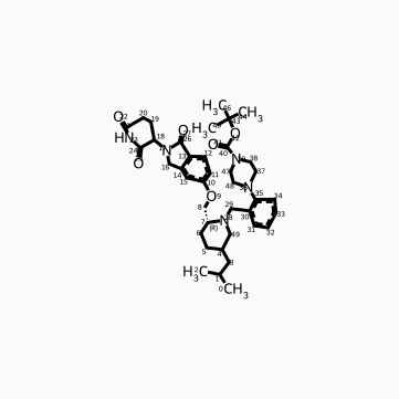 CC(C)CC1CC[C@H](COc2ccc3c(c2)CN(C2CCC(=O)NC2=O)C3=O)N(Cc2ccccc2N2CCN(C(=O)OC(C)(C)C)CC2)C1